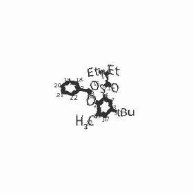 CCN(CC)C(=O)Sc1cc(C(C)(C)C)cc(C)c1OC(=O)c1ccccc1